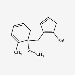 CSC1(CC2=[C]([Sn])CC=C2)CC=CC=C1C